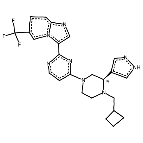 FC(F)(F)c1ccc2ncc(-c3nccc(N4CCN(CC5CCC5)[C@H](c5cn[nH]c5)C4)n3)n2c1